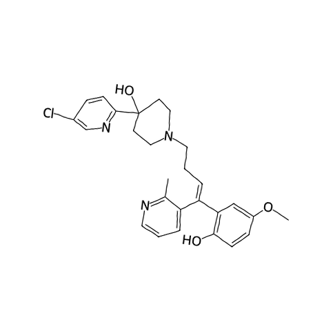 COc1ccc(O)c(/C(=C/CCN2CCC(O)(c3ccc(Cl)cn3)CC2)c2cccnc2C)c1